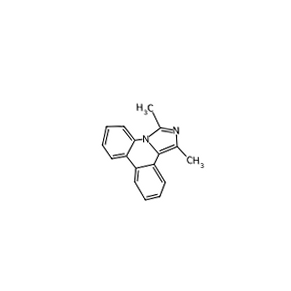 Cc1nc(C)n2c3ccccc3c3ccccc3c12